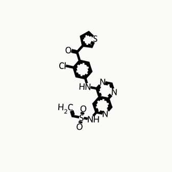 C=CS(=O)(=O)Nc1cc2c(Nc3ccc(C(=O)c4ccsc4)c(Cl)c3)ncnc2cn1